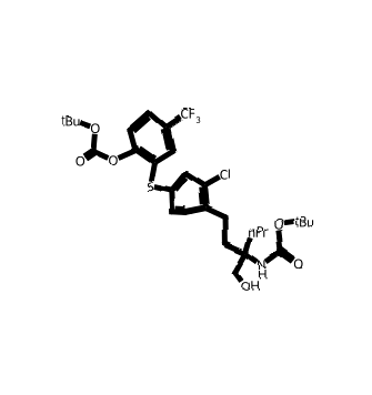 CCCC(CO)(CCc1ccc(Sc2cc(C(F)(F)F)ccc2OC(=O)OC(C)(C)C)cc1Cl)NC(=O)OC(C)(C)C